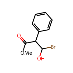 COC(=O)C(c1ccccc1)C(O)Br